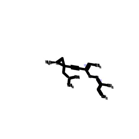 C=C/C(C)=N\O/C(C#CC1(CN(N)O)C[C@H]1C)=C\C